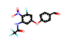 O=Cc1ccc(Oc2cc(F)c([N+](=O)[O-])c(NC(=O)C(F)(F)F)c2)cc1